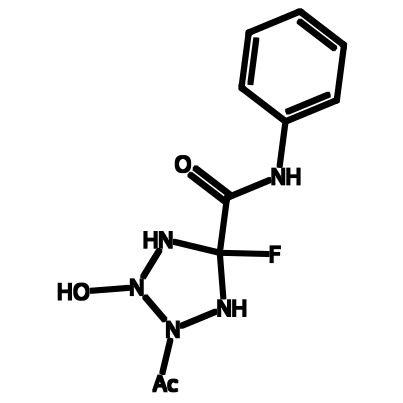 CC(=O)N1NC(F)(C(=O)Nc2ccccc2)NN1O